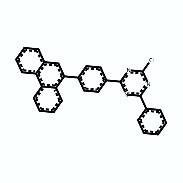 Clc1nc(-c2ccccc2)nc(-c2ccc(-c3cc4ccccc4c4ccccc34)cc2)n1